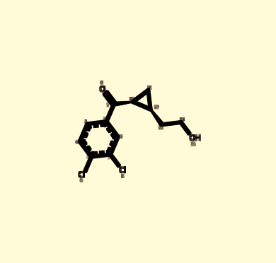 O=C(c1ccc(Cl)c(Cl)c1)[C@H]1C[C@H]1CCO